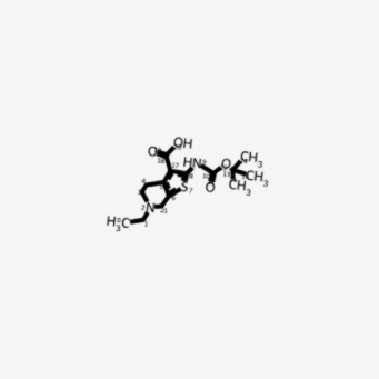 CCN1CCc2c(sc(NC(=O)OC(C)(C)C)c2C(=O)O)C1